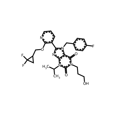 CC(C)n1c(=O)n(CCCO)c(=O)c2c1nc(-c1cccnc1OCC1CC1(F)F)n2Cc1ccc(F)cc1